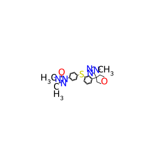 Cc1nn(-c2ccc(Sc3cccc(C4(c5nncn5C)CCOCC4)c3)cc2)c(=O)n1C